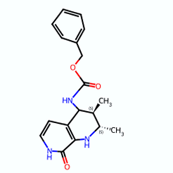 C[C@@H]1Nc2c(cc[nH]c2=O)C(NC(=O)OCc2ccccc2)[C@H]1C